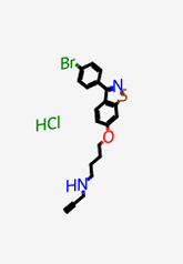 C#CCNCCCCOc1ccc2c(-c3ccc(Br)cc3)nsc2c1.Cl